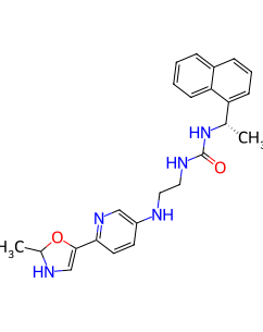 CC1NC=C(c2ccc(NCCNC(=O)N[C@@H](C)c3cccc4ccccc34)cn2)O1